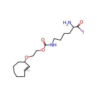 NC(CCCCNC(=O)OCCOC1/C=C/CCCCC1)C(=O)I